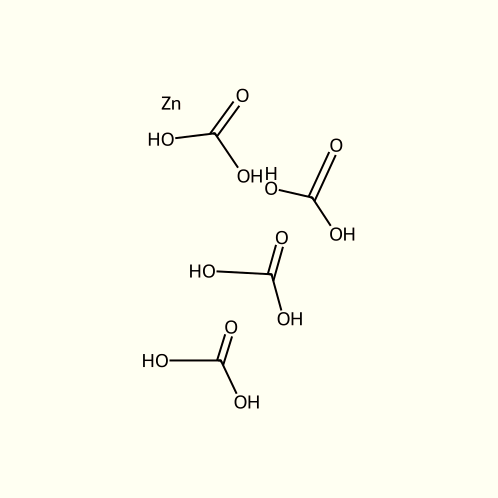 O=C(O)O.O=C(O)O.O=C(O)O.O=C(O)O.[Zn]